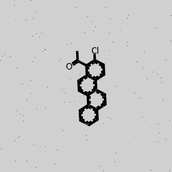 CC(=O)c1c(Cl)ccc2c1ccc1c3ccccc3ccc21